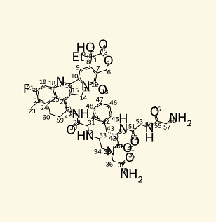 CC[C@@]1(O)C(=O)OCc2c1cc1n(c2=O)Cc2c-1nc1cc(F)c(C)c3c1c2[C@@H](NC(=O)CNCCN(CC(N)=O)C(=O)[C@H](Cc1ccccc1)NC(=O)CNC(=O)CN)CC3